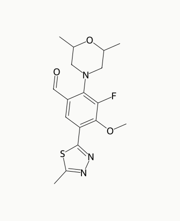 COc1c(-c2nnc(C)s2)cc(C=O)c(N2CC(C)OC(C)C2)c1F